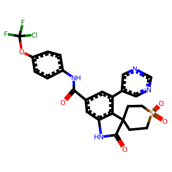 O=C(Nc1ccc(OC(F)(F)Cl)cc1)c1cc2c(c(-c3cncnc3)c1)C1(CCS(=O)(=O)CC1)C(=O)N2